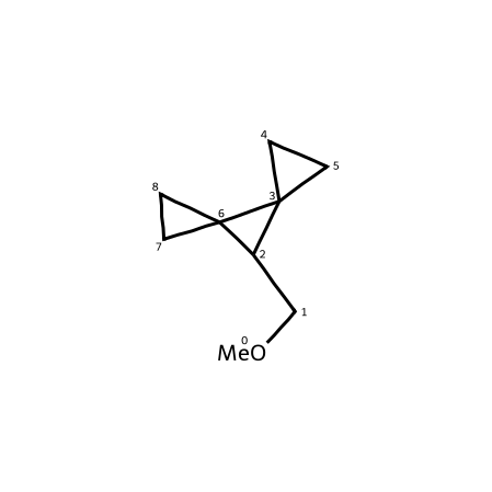 COCC1C2(CC2)C12CC2